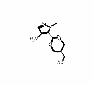 Cn1ncc(N)c1[C@H]1OC[C@H](CO)CO1